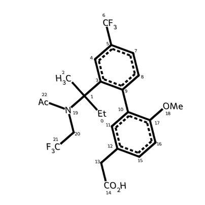 CCC(C)(c1cc(C(F)(F)F)ccc1-c1cc(CC(=O)O)ccc1OC)N(CC(F)(F)F)C(C)=O